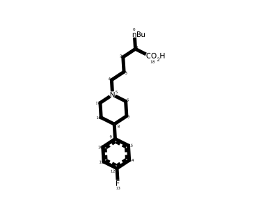 CCCCC(CCCN1CCC(c2ccc(F)cc2)CC1)C(=O)O